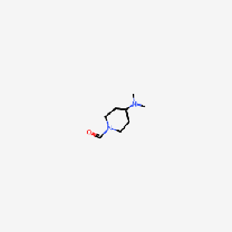 CN(C)C1CCN(C=O)CC1